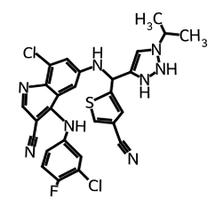 CC(C)N1C=C(C(Nc2cc(Cl)c3ncc(C#N)c(Nc4ccc(F)c(Cl)c4)c3c2)c2cc(C#N)cs2)NN1